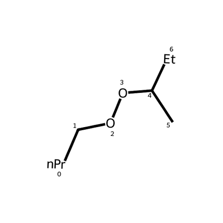 CCCCOOC(C)CC